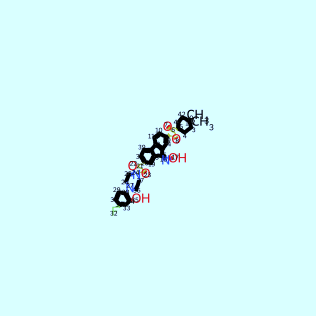 CC1(C)CCC(S(=O)(=O)c2ccc3c(c2)/C(=N\O)c2cc(S(=O)(=O)N4CCN(c5ccc(F)cc5O)CC4)ccc2-3)CC1